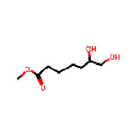 COC(=O)CCCCC(O)CO